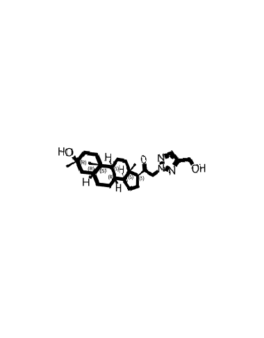 C[C@@]1(O)CC[C@@]2(C)[C@H](CC[C@@H]3[C@@H]2CC[C@]2(C)[C@@H](C(=O)Cn4ncc(CO)n4)CC[C@@H]32)C1